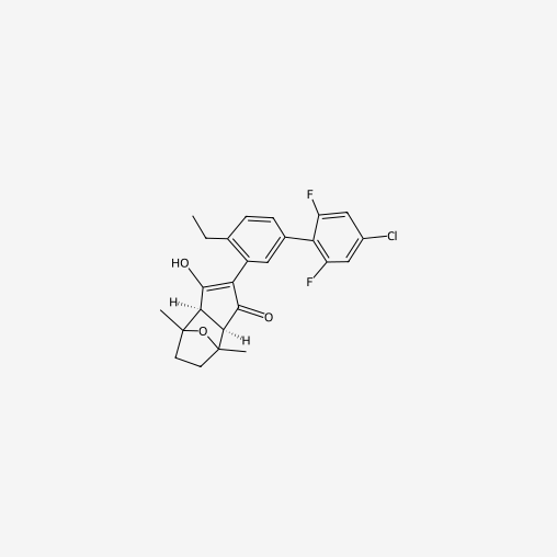 CCc1ccc(-c2c(F)cc(Cl)cc2F)cc1C1=C(O)[C@H]2[C@@H](C1=O)C1(C)CCC2(C)O1